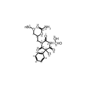 CCCCOCC(CN1C(=O)NC(=O)C(CC)(c2ccccc2)C1=O)OC(N)=O.O=CO